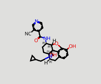 N#Cc1cnccc1C(=O)N[C@@H]1CC[C@@]2(O)[C@H]3Cc4ccc(O)c5c4[C@@]2(CCN3CC2CC2)[C@H]1O5